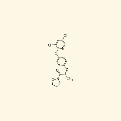 CC(Oc1ccc(Oc2ncc(Cl)cc2Cl)cc1)C(=O)N1CCCO1